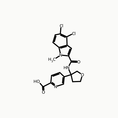 Cn1c(C(=O)NC2(c3ccc(C(=O)O)nc3)CCOC2)cc2c(Cl)c(Cl)ccc21